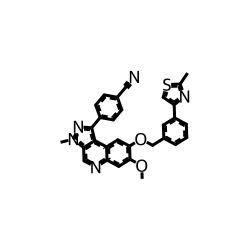 COc1cc2ncc3c(c(-c4ccc(C#N)cc4)nn3C)c2cc1OCc1cccc(-c2csc(C)n2)c1